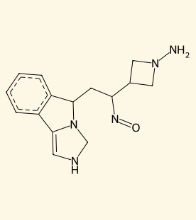 NN1CC(C(CC2c3ccccc3C3=CNCN32)N=O)C1